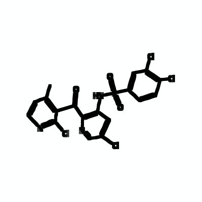 Cc1ccnc(Cl)c1C(=O)c1ncc(Cl)cc1NS(=O)(=O)c1ccc(Cl)c(Cl)c1